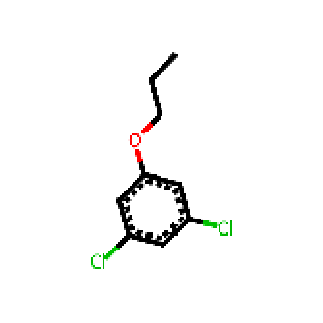 CCCOc1cc(Cl)cc(Cl)c1